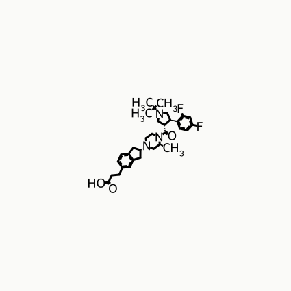 C[C@H]1CN([C@H]2Cc3ccc(CCC(=O)O)cc3C2)CCN1C(=O)[C@@H]1CN(C(C)(C)C)C[C@H]1c1ccc(F)cc1F